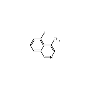 Cc1cncc2cccc(I)c12